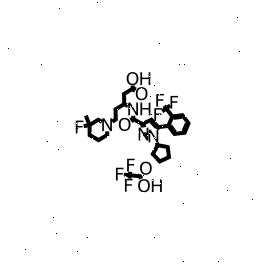 CC1(F)CCCN(CCC(CC(=O)O)NC(=O)c2cc(-c3ccccc3C(F)(F)F)n(C3CCCC3)n2)C1.O=C(O)C(F)(F)F